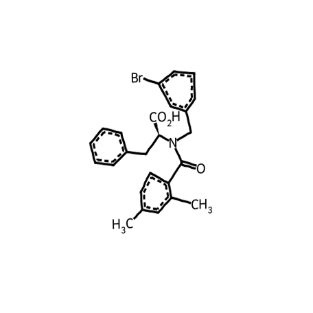 Cc1ccc(C(=O)N(Cc2cccc(Br)c2)[C@@H](Cc2ccccc2)C(=O)O)c(C)c1